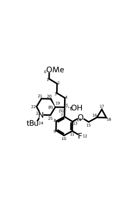 COCCCC[C@@](O)(c1cccc(F)c1OCC1CC1)[C@@H]1CCCN(C(C)(C)C)C1